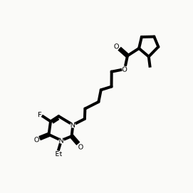 CCn1c(=O)c(F)cn(CCCCCCOC(=O)C2CCCC2C)c1=O